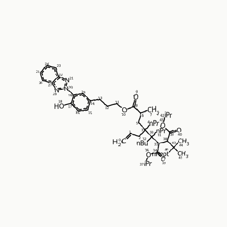 C=CCC(CCC)(CC(C)C(=O)OCCCc1ccc(O)c(-n2nc3ccccc3n2)c1)C(CCC)(CCCC)C(C(=O)OC(C)C)C(C(=O)OC(C)C)C(C)(C)CCCCCCC